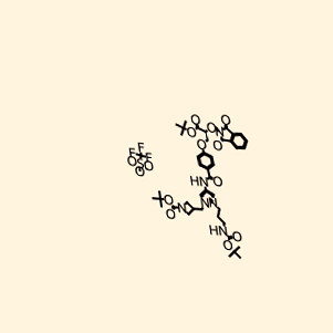 CC(C)(C)OC(=O)NCCCn1cc(NC(=O)c2ccc(OC[C@H](ON3C(=O)c4ccccc4C3=O)C(=O)OC(C)(C)C)cc2)c[n+]1CC1CN(C(=O)OC(C)(C)C)C1.O=S(=O)([O-])C(F)(F)F